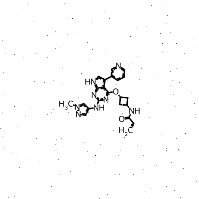 C=CC(=O)N[C@H]1C[C@@H](Oc2nc(Nc3cnn(C)c3)nc3[nH]cc(-c4cccnc4)c23)C1